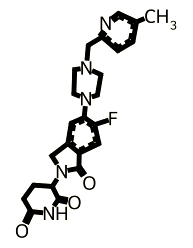 Cc1ccc(CN2CCN(c3cc4c(cc3F)C(=O)N(C3CCC(=O)NC3=O)C4)CC2)nc1